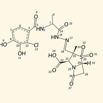 CC(NC(=O)c1ccc(O)c(O)c1Cl)C(=O)N/N=C/[C@@]1(C)[C@H](C(=O)O)N2C(=O)C[C@H]2S1(=O)=O